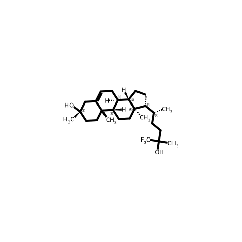 C[C@H](CCC(C)(O)C(F)(F)F)[C@H]1CC[C@H]2[C@@H]3CC=C4C[C@@](C)(O)CCC4(C)[C@H]3CC[C@]12C